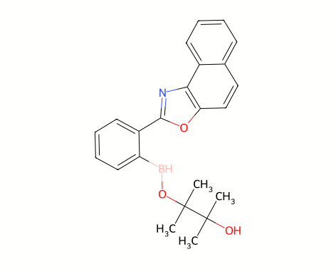 CC(C)(O)C(C)(C)OBc1ccccc1-c1nc2c(ccc3ccccc32)o1